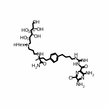 CCCCCCN(CCCN[C@](C)(CCc1ccc(CCCCNC(=N)NC(=O)c2nc(Cl)c(N)nc2N)cc1)C(N)=O)C[C@H](O)[C@@H](O)[C@H](O)[C@H](O)CO